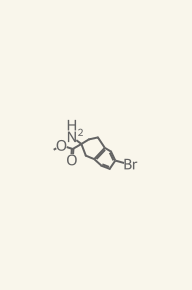 COC(=O)C1(N)CCc2cc(Br)ccc2C1